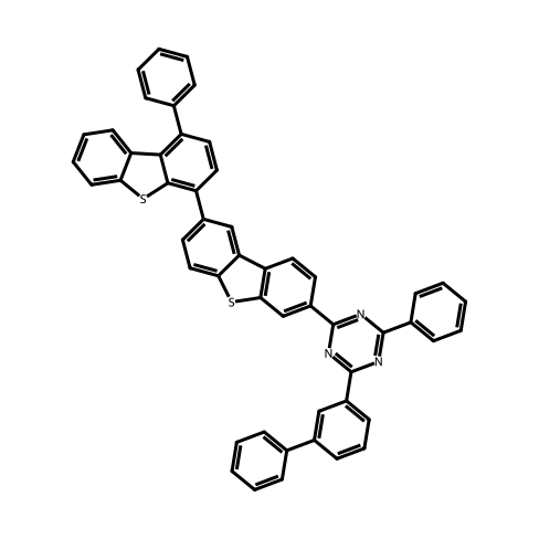 c1ccc(-c2cccc(-c3nc(-c4ccccc4)nc(-c4ccc5c(c4)sc4ccc(-c6ccc(-c7ccccc7)c7c6sc6ccccc67)cc45)n3)c2)cc1